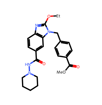 CCOc1nc2ccc(C(=O)NN3CCCCC3)cc2n1Cc1ccc(C(=O)OC)cc1